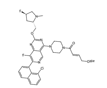 COC/C=C/C(=O)N1CCN(c2nc(OC[C@@H]3C[C@@H](F)CN3C)nc3c(F)c(-c4cccc5cccc(Cl)c45)ncc23)CC1